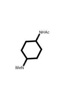 CNC1CCC(NC(C)=O)CC1